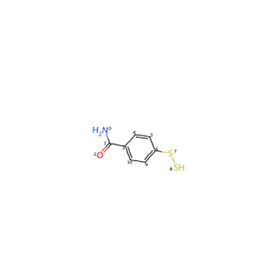 NC(=O)c1ccc(SS)cc1